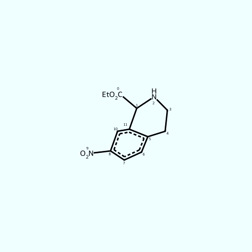 CCOC(=O)C1NCCc2ccc([N+](=O)[O-])cc21